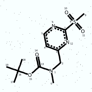 CN(Cc1ccnc(S(C)(=O)=O)n1)C(=O)OC(C)(C)C